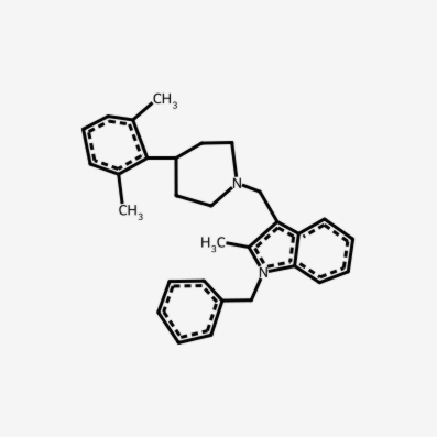 Cc1cccc(C)c1C1CCN(Cc2c(C)n(Cc3ccccc3)c3ccccc23)CC1